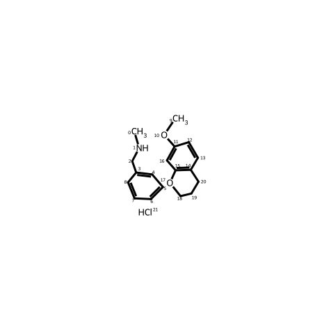 CNCc1ccccc1.COc1ccc2c(c1)OCCC2.Cl